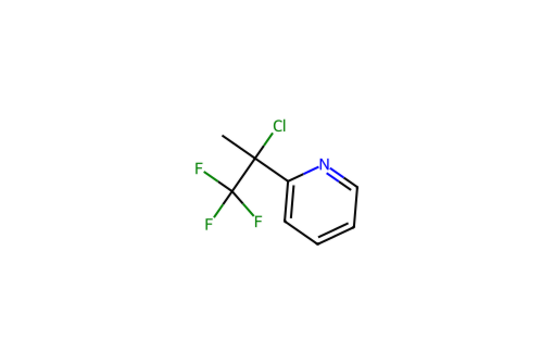 CC(Cl)(c1ccccn1)C(F)(F)F